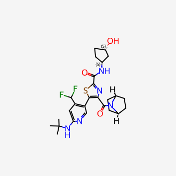 CC(C)(C)Nc1cc(C(F)F)c(-c2sc(C(=O)N[C@H]3CC[C@H](O)C3)nc2C(=O)N2[C@H]3CC[C@@H]2CC3)cn1